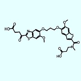 COc1cc2sc(C(=O)N(C)CCC(=O)O)cc2cc1OCCCOc1cc2nc(C(=O)CCC(=O)O)sc2cc1OC